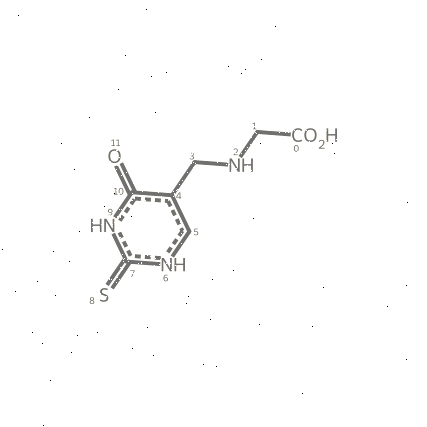 O=C(O)CNCc1c[nH]c(=S)[nH]c1=O